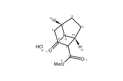 COC(=O)C1C(=O)C[C@@H]2CC[C@H]1N2C.Cl